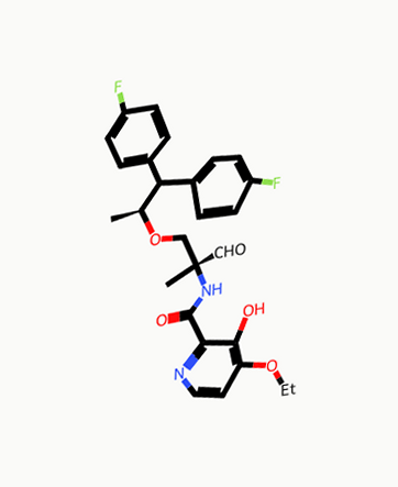 CCOc1ccnc(C(=O)N[C@@](C)(C=O)CO[C@@H](C)C(c2ccc(F)cc2)c2ccc(F)cc2)c1O